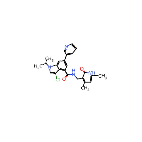 Cc1cc(C)c(CNC(=O)c2cc(-c3cccnc3)cc3c2c(Cl)cn3C(C)C)c(=O)[nH]1